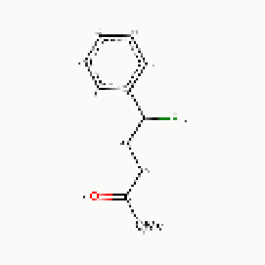 COC(=O)CCC(F)c1ccccc1